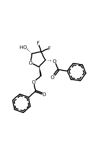 O=C(OC[C@H]1O[C@H](O)C(F)(F)[C@@H]1OC(=O)c1ccccc1)c1ccccc1